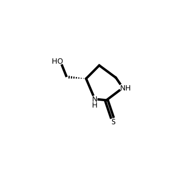 OC[C@@H]1CCNC(=S)N1